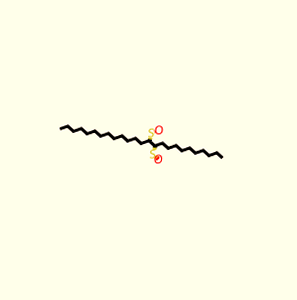 CCCCCCCCCCCCCC(=S=O)C(CCCCCCCCCC)=S=O